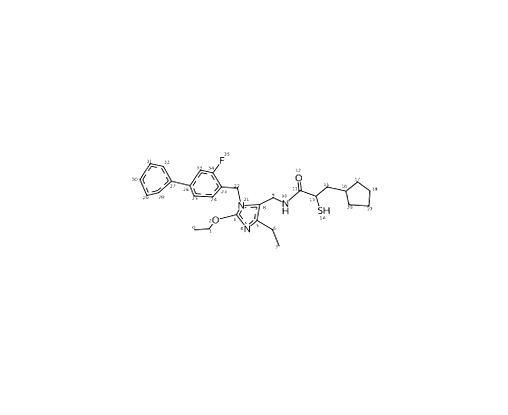 CCOc1nc(CC)c(CNC(=O)C(S)CC2CCCC2)n1Cc1ccc(-c2ccccc2)cc1F